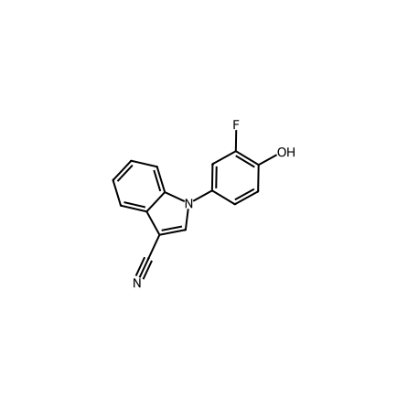 N#Cc1cn(-c2ccc(O)c(F)c2)c2ccccc12